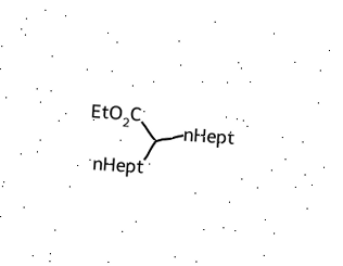 CCCCCCCC(CCCCCCC)C(=O)OCC